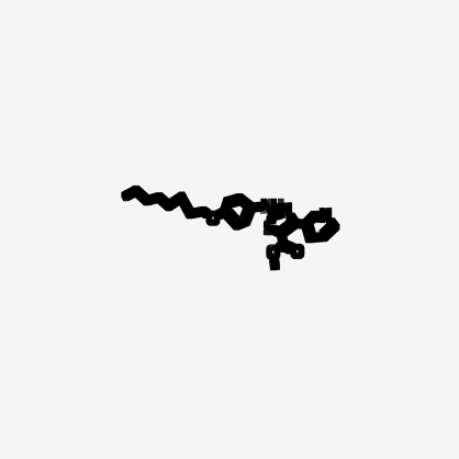 CCCCCCCCOc1ccc(Nc2nc(-c3cccnc3)c(C(=O)OC)s2)cc1